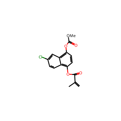 C=C(C)C(=O)Oc1ccc(OC(=O)OC)c2cc(Cl)ccc12